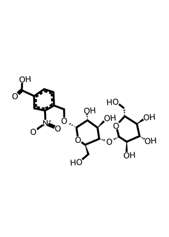 O=C(O)c1ccc(CO[C@H]2O[C@H](CO)[C@@H](O[C@@H]3O[C@H](CO)[C@@H](O)[C@H](O)[C@H]3O)[C@H](O)[C@H]2O)c([N+](=O)[O-])c1